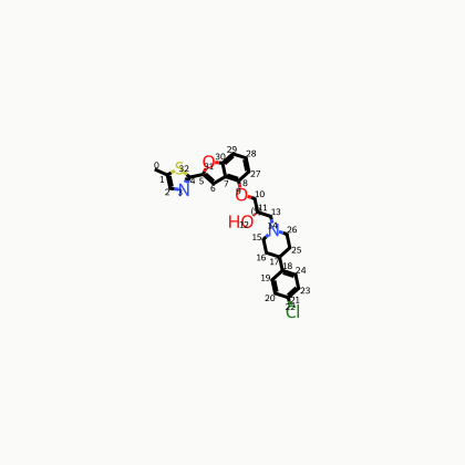 Cc1cnc(-c2cc3c(OC[C@@H](O)CN4CCC(c5ccc(Cl)cc5)CC4)cccc3o2)s1